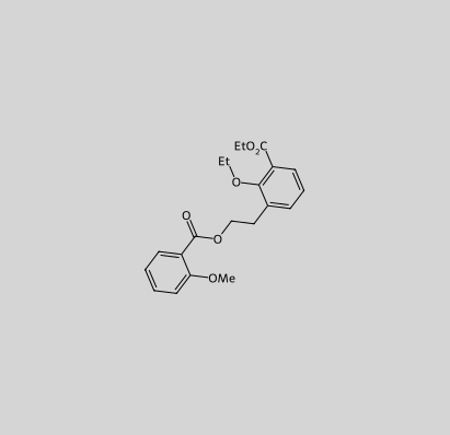 CCOC(=O)c1cccc(CCOC(=O)c2ccccc2OC)c1OCC